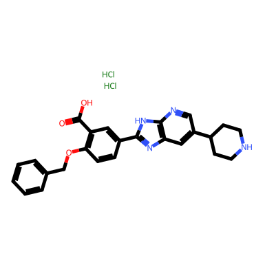 Cl.Cl.O=C(O)c1cc(-c2nc3cc(C4CCNCC4)cnc3[nH]2)ccc1OCc1ccccc1